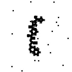 O=C(NCC(O)CN1CCc2ccccc2C1)c1ccnc(NC2CN(C(=O)C3CCC3)C2)c1